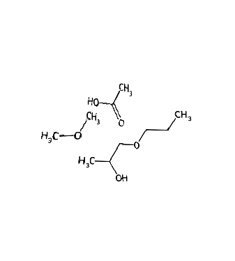 CC(=O)O.CCCOCC(C)O.COC